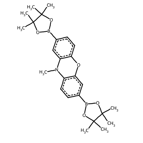 CN1c2ccc(B3OC(C)(C)C(C)(C)O3)cc2Oc2ccc(B3OC(C)(C)C(C)(C)O3)cc21